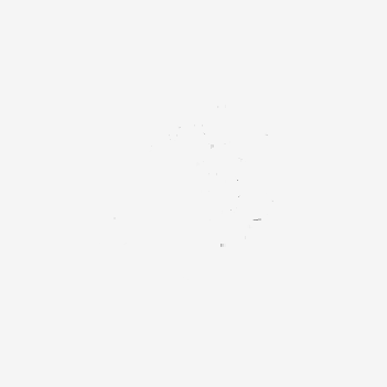 CC(=O)OC[C@@H]1O[C@H](OCCOCc2ccccc2)[C@@H](O[C@H]2O[C@H](COC(C)=O)[C@@H](OC(C)=O)[C@H](OC(C)=O)[C@@H]2OC(C)=O)[C@@H](OC(C)=O)[C@@H]1C